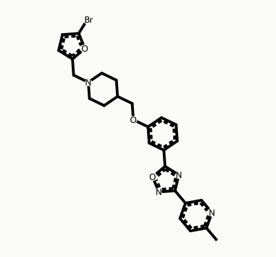 Cc1ccc(-c2noc(-c3cccc(OCC4CCN(Cc5ccc(Br)o5)CC4)c3)n2)cn1